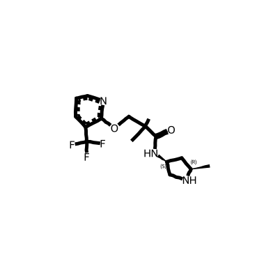 C[C@@H]1C[C@H](NC(=O)C(C)(C)COc2ncccc2C(F)(F)F)CN1